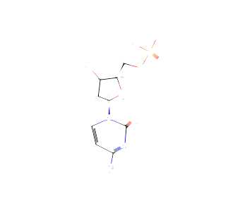 Nc1ccn([C@H]2CC(O)[C@@H](COP(=O)(O)O)O2)c(=O)n1